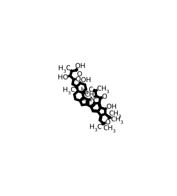 C=C(C)C1C(=O)c2c3c(cc4c5c(n1c24)C1(C)C(CCC2C4(C)CC(C(O)C(C)C(=O)O)OC4(O)CCC21C)C5)C1=CC(C)(C)OC(C)(C)C1C3O